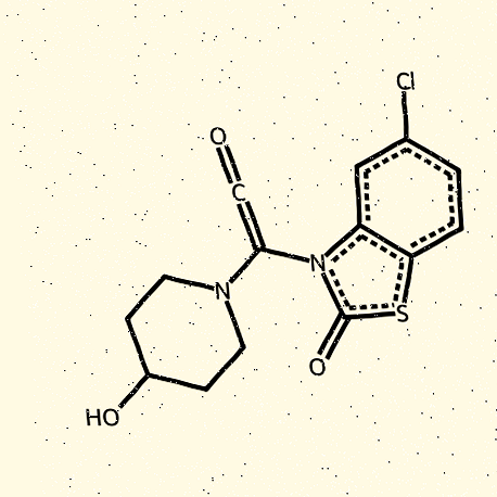 O=C=C(N1CCC(O)CC1)n1c(=O)sc2ccc(Cl)cc21